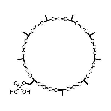 CC1CCCC(C)CCCC(C)CCCC(C)CCCC(C)CCOC(COP(=O)(O)O)COCCC(C)CCCC(C)CCCC(C)CCC1